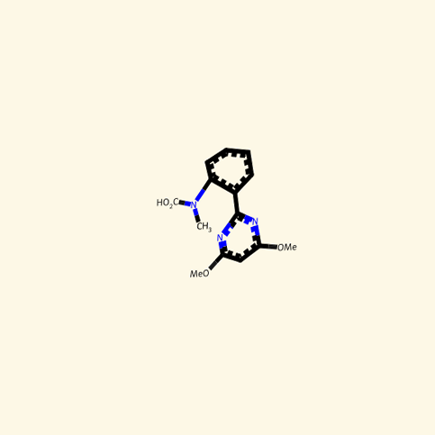 COc1cc(OC)nc(-c2ccccc2N(C)C(=O)O)n1